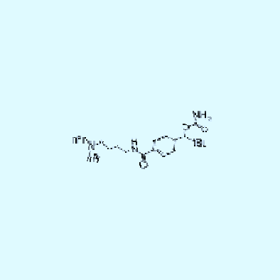 CCCN(CCC)CCCCNC(=O)c1ccc(C(OC(N)=O)C(C)(C)C)cc1